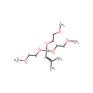 COCCO[Si](C=C(C)C)(OCCOC)OCCOC